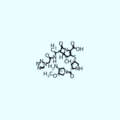 CO[C@H]1CN(C(=O)[C@@H]2C[C@H](SC3=C(C(=O)O)N4C(=O)[C@H](C(C)NC(=O)Cn5cnnn5)[C@H]4[C@H]3C)CN2)C[C@@H]1N